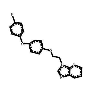 Fc1ccc(Oc2ccc(OCCn3cnc4cccnc43)cc2)cc1